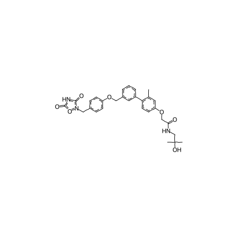 Cc1cc(OCC(=O)NCC(C)(C)O)ccc1-c1cccc(COc2ccc(Cn3oc(=O)[nH]c3=O)cc2)c1